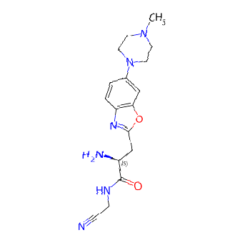 CN1CCN(c2ccc3nc(C[C@H](N)C(=O)NCC#N)oc3c2)CC1